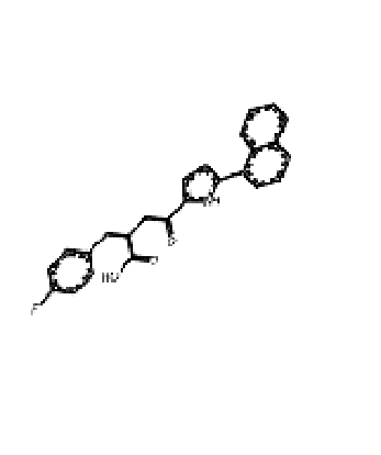 O=C(CC(Cc1ccc(F)cc1)C(=O)O)c1ccc(-c2cccc3ccccc23)[nH]1